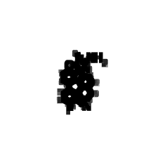 CN1C(=O)C(c2cccc(-c3ccc(F)c(C#N)c3)c2)(c2ccc3c(c2)CCCC3)N=C1N